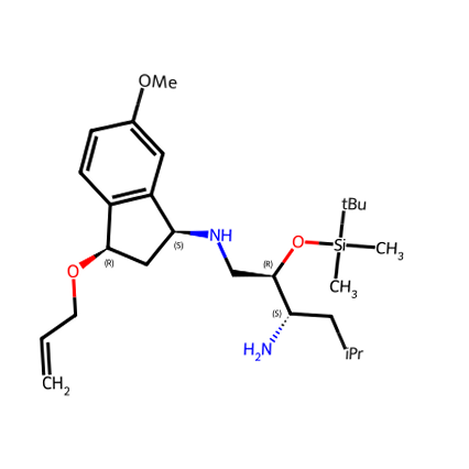 C=CCO[C@@H]1C[C@H](NC[C@@H](O[Si](C)(C)C(C)(C)C)[C@@H](N)CC(C)C)c2cc(OC)ccc21